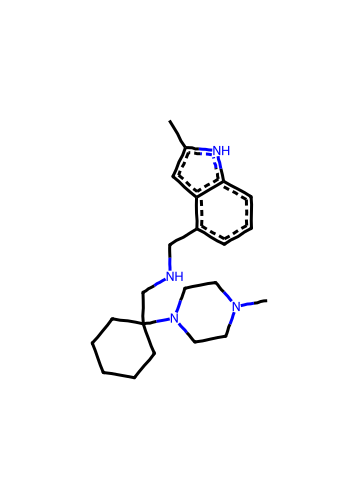 Cc1cc2c(CNCC3(N4CCN(C)CC4)CCCCC3)cccc2[nH]1